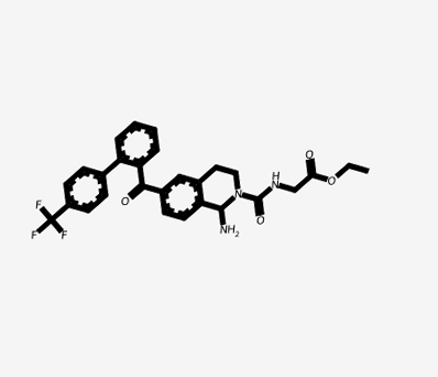 CCOC(=O)CNC(=O)N1CCc2cc(C(=O)c3ccccc3-c3ccc(C(F)(F)F)cc3)ccc2C1N